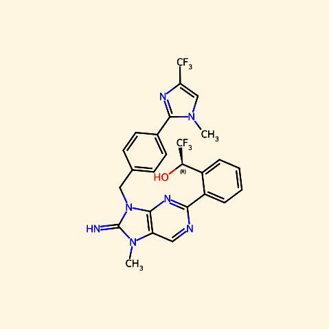 Cn1cc(C(F)(F)F)nc1-c1ccc(Cn2c(=N)n(C)c3cnc(-c4ccccc4[C@@H](O)C(F)(F)F)nc32)cc1